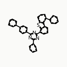 c1ccc(-c2ccc(-c3nc(-c4ccccc4)nc(-c4cccc5c4sc4cccc(-c6ccccc6)c45)n3)cc2)cc1